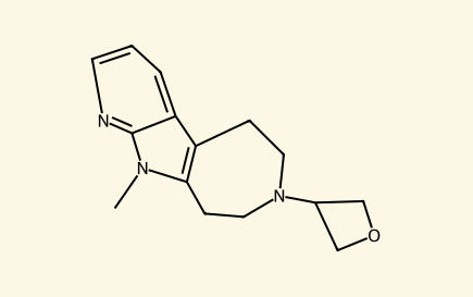 Cn1c2c(c3cccnc31)CCN(C1COC1)CC2